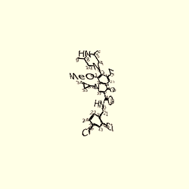 COc1c(N2CC(C)NC(C)C2)c(F)cc2c(=O)c(C(=O)NCc3ccc(Cl)cc3Cl)cn(C3CC3)c12